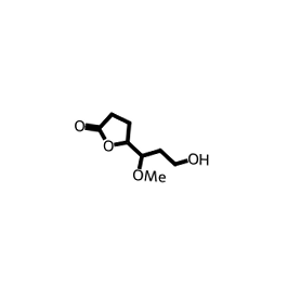 COC(CCO)C1CCC(=O)O1